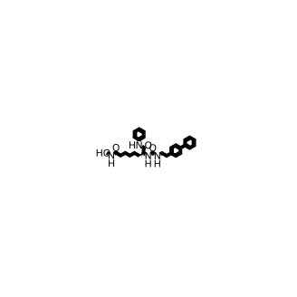 O=C(CCCCC[C@H](NC(=O)NCCc1ccc(-c2ccccc2)cc1)C(=O)Nc1ccccc1)NO